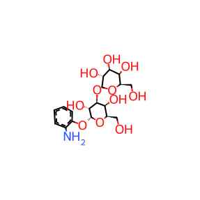 Nc1ccccc1O[C@H]1O[C@H](CO)[C@H](O)[C@H](O[C@H]2O[C@H](CO)[C@H](O)[C@H](O)[C@H]2O)[C@H]1O